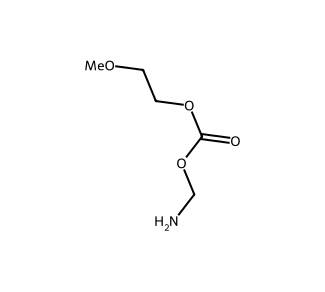 COCCOC(=O)OCN